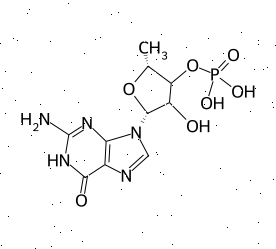 C[C@H]1O[C@@H](n2cnc3c(=O)[nH]c(N)nc32)C(O)C1OP(=O)(O)O